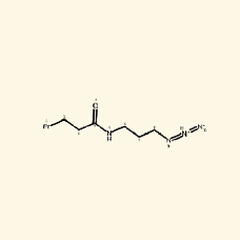 CC(C)CCC(=O)NCCCN=[N+]=[N-]